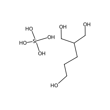 OCCCC(CO)CO.O[Si](O)(O)O